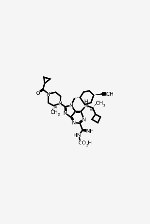 C#C[C@H]1CC[C@H](Cn2c(N3CCN(C(=O)C4CC4)C[C@H]3C)nc3nc(C(=N)NC(=O)O)nc(N[C@H](C)C4CCC4)c32)CC1